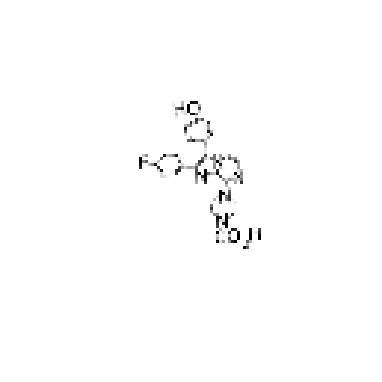 O=C(O)N1CCN(c2nccn3c(-c4ccc(O)cc4)c(-c4ccc(F)cc4)nc23)CC1